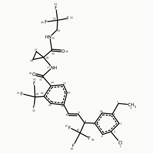 CCc1cc(Cl)cc(C(/C=C/c2ccc(C(=O)NC3(C(=O)NCC(F)(F)F)CC3)c(C(F)(F)F)c2)C(F)(F)F)c1